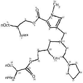 CCCCCCCCC(CCCCCC)COC(=O)c1cc(CN(CCN2CCCC2)CC(O)CCOC(=O)C(CCCCCC)CCCCCCCC)cn1C